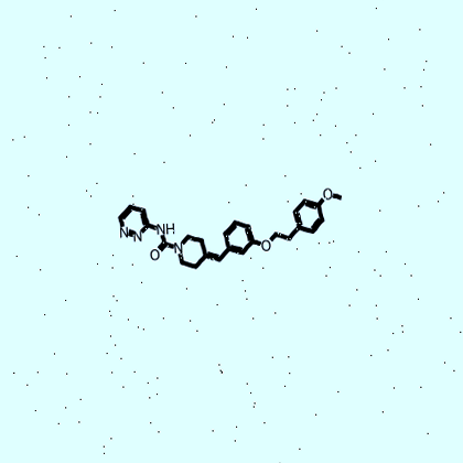 COc1ccc(CCOc2cccc(C=C3CCN(C(=O)Nc4cccnn4)CC3)c2)cc1